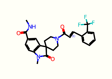 CNC(=O)c1ccc2c(c1)C1(CCN(C(=O)/C=C/c3ccccc3C(F)(F)F)CC1)C(=O)N2C